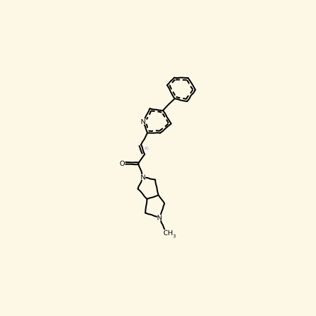 CN1CC2CN(C(=O)/C=C/c3ccc(-c4ccccc4)cn3)CC2C1